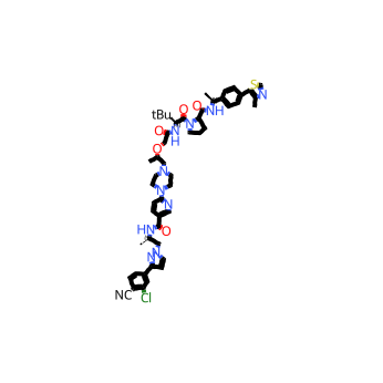 Cc1ncsc1-c1ccc([C@H](C)NC(=O)C2CCCN2C(=O)[C@@H](NC(=O)COC(C)CN2CCN(c3ccc(C(=O)N[C@@H](C)Cn4ccc(-c5ccc(C#N)c(Cl)c5)n4)cn3)CC2)C(C)(C)C)cc1